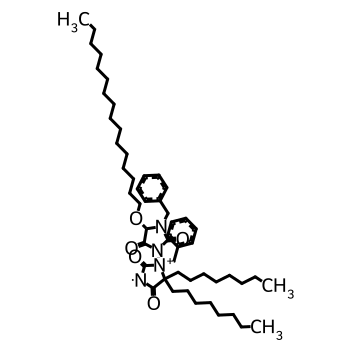 CCCCCCCCCCCCCCCCOC1C(=O)N([N+]2(Cc3ccccc3)C(=O)[N]C(=O)C2(CCCCCCCC)CCCCCCCC)C(=O)N1Cc1ccccc1